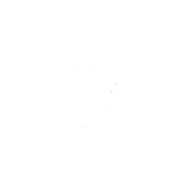 Cn1ncc(C=O)c1-c1cccc(Cl)c1